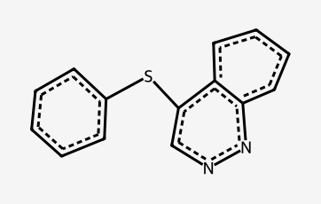 c1ccc(Sc2cnnc3ccccc23)cc1